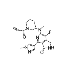 C#CC(=O)N1CCCC(N(C)c2nc(-c3cnn(C)c3)c3c(c2F)CNC3=O)C1